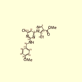 CCc1c(C(=O)OC)cnn1-c1cc(Cl)nc(NCc2ccc(OC)cc2)n1